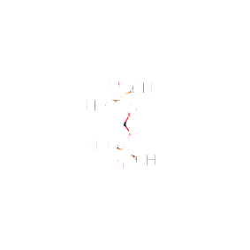 CP(C)(=O)OCOP(C)(C)=O